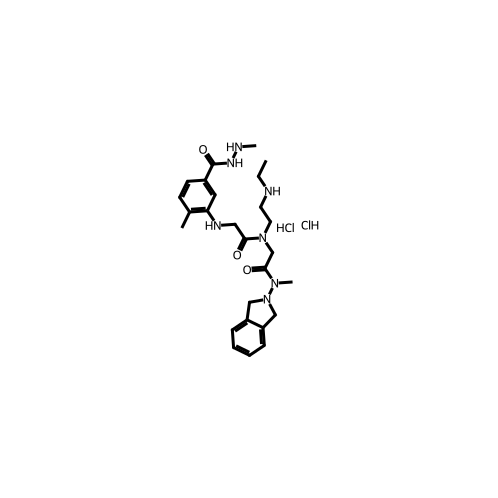 CCNCCN(CC(=O)N(C)N1Cc2ccccc2C1)C(=O)CNc1cc(C(=O)NNC)ccc1C.Cl.Cl